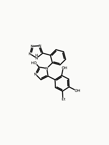 CCc1cc(-c2cnc(O)n2-c2ccccc2-c2nnn[nH]2)c(O)cc1O